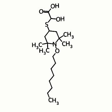 CCCCCCCCON1C(C)(C)CC(SC(O)C(=O)O)CC1(C)C